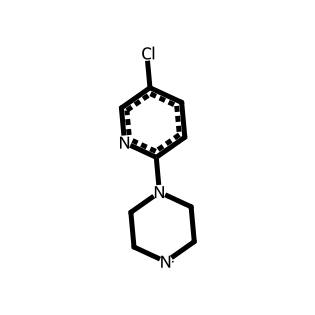 Clc1ccc(N2CC[N]CC2)nc1